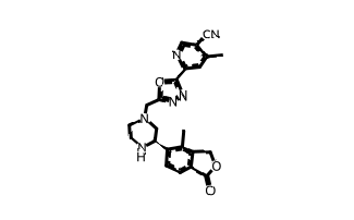 Cc1cc(-c2nnc(CN3CCN[C@H](c4ccc5c(c4C)COC5=O)C3)o2)ncc1C#N